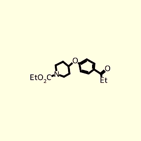 CCOC(=O)N1CCC(Oc2ccc(C(=O)CC)cc2)CC1